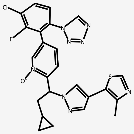 Cc1ncsc1-c1cnn(C(CC2CC2)c2ccc(-c3c(-n4cnnn4)ccc(Cl)c3F)c[n+]2[O-])c1